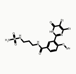 CCCOc1ccc(C(=O)NCCCNS(N)(=O)=O)cc1-c1nc(CC)c(CC)c(=O)[nH]1